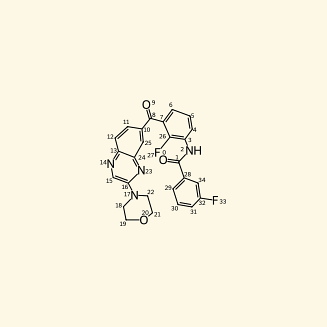 O=C(Nc1cccc(C(=O)c2ccc3ncc(N4CCOCC4)nc3c2)c1F)c1cccc(F)c1